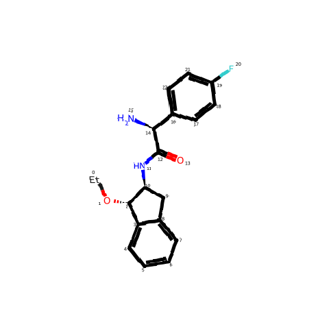 CCO[C@H]1c2ccccc2C[C@@H]1NC(=O)[C@@H](N)c1ccc(F)cc1